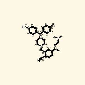 CN(C)CCN(C)c1ccc(C#N)c(CN2CCN(C(c3ccc(Br)cc3)c3ccc(Br)cc3)CC2)c1